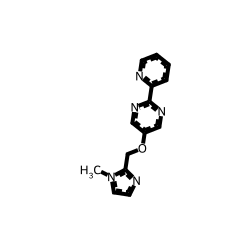 Cn1ccnc1COc1cnc(-c2ccccn2)nc1